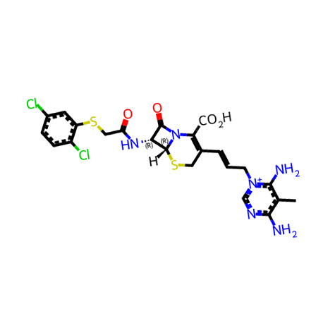 Cc1c(N)nc[n+](CC=CC2=C(C(=O)O)N3C(=O)[C@@H](NC(=O)CSc4cc(Cl)ccc4Cl)[C@H]3SC2)c1N